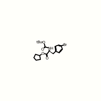 CC(C)(C)OC(=O)N[C@@H](Cc1ccc(Br)cc1)C(=O)OC1CCCC1